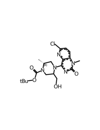 C[C@@H]1CN(c2nc(=O)n(C)c3ccc(Cl)nc23)C(CO)CN1C(=O)OC(C)(C)C